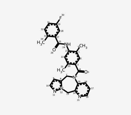 Cc1cc(C(=O)N2Cc3ccnn3Cc3ncccc32)c(C)cc1NC(=O)c1cc(F)ccc1C